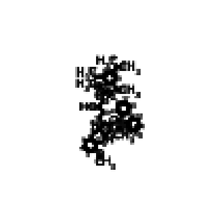 COc1cccc2c1C[C@H]1C[C@H](O[Si](c3ccccc3)(c3ccccc3)C(C)(C)C)[C@H](CC[C@H](O)COS(=O)(=O)c3c(C(C)C)cc(C(C)C)cc3C(C)C)[C@@H]1C2